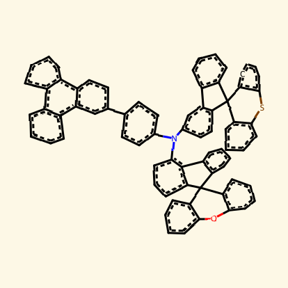 c1ccc2c(c1)Oc1ccccc1C21c2ccccc2-c2c(N(c3ccc(-c4ccc5c6ccccc6c6ccccc6c5c4)cc3)c3ccc4c(c3)-c3ccccc3C43c4ccccc4Sc4ccccc43)cccc21